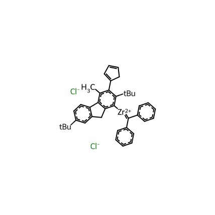 Cc1c(C2=CC=CC2)c(C(C)(C)C)[c]([Zr+2]=[C](c2ccccc2)c2ccccc2)c2c1-c1ccc(C(C)(C)C)cc1C2.[Cl-].[Cl-]